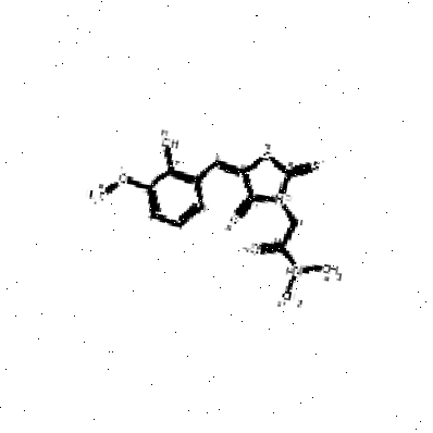 COc1cccc(/C=C2/SC(=S)N(CC(=O)N(C)C)C2=O)c1O